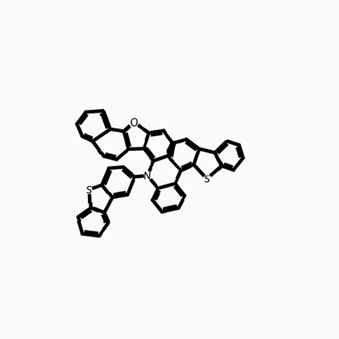 c1ccc(N(c2ccc3sc4ccccc4c3c2)c2cccc3oc4c5ccccc5ccc4c23)c(-c2cccc3c2sc2ccccc23)c1